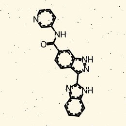 O=C(Nc1cccnc1)c1ccc2c(-c3nc4ccccc4[nH]3)n[nH]c2c1